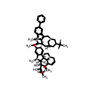 CC[C@]12C=CCN3CC[C@@]4(C5=CC([C@@]6(C(=O)OC)C[C@H]7CC(C(C)(F)F)CN(Cc8c6[nH]c6ccc(-c9ccccc9)cc86)C7)C(OC)C=C5N(C)[C@H]4[C@@](O)(C(=O)O)[C@@H]1OC(C)=O)[C@@H]32